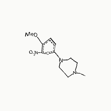 COc1ccc(N2CCN(C)CC2)cc1[N+](=O)[O-]